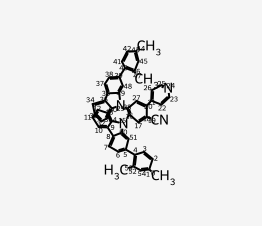 Cc1ccc(-c2ccc3c4ccccc4n(-c4cc(C#N)c(-c5ccncc5)cc4-n4c5ccccc5c5ccc(-c6ccc(C)cc6C)cc54)c3c2)c(C)c1